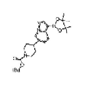 CC(C)(C)OC(=O)N1CCC(c2ccc3c(B4OC(C)(C)C(C)(C)O4)cnn3c2)CC1